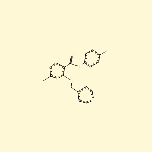 Cc1ccc(C(=O)Nc2ccc(Cl)cc2)c(NCc2ccncc2)n1